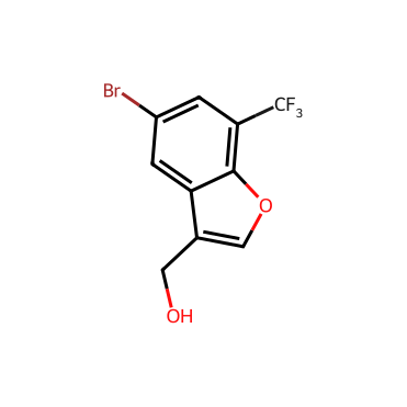 OCc1coc2c(C(F)(F)F)cc(Br)cc12